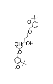 COc1ccc(COC(CO)CCC(O)CCCOCc2cccc(C(C)(C)C)c2OC)cc1C(C)(C)C